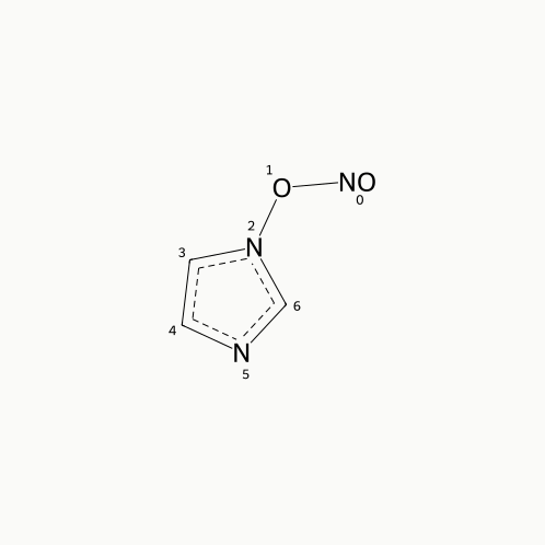 O=NOn1ccnc1